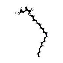 C=C(CC(=O)O)C(=O)OCCCCCCCC/C=C\CCCCCCCC